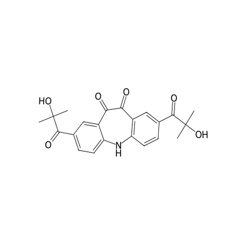 CC(C)(O)C(=O)c1ccc2[nH]c3ccc(C(=O)C(C)(C)O)cc3c(=O)c(=O)c2c1